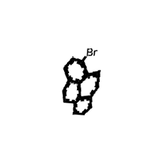 Brc1[c]cc2ccc3cccc4ccc1c2c34